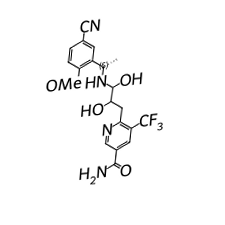 COc1ccc(C#N)cc1[C@H](C)NC(O)C(O)Cc1ncc(C(N)=O)cc1C(F)(F)F